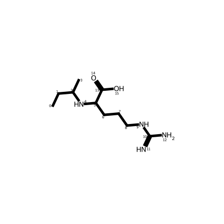 CCC(C)NC(CCCNC(=N)N)C(=O)O